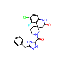 O=C1CC2(CCCN(C(=O)c3nnc(Cc4ccccc4)[nH]3)C2)c2c(ccc(Cl)c2F)N1